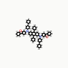 c1ccc(-c2ccc(N(c3ccc4c(c3)oc3ccccc34)c3ccc4c(-c5ccccc5)c5cc(N(c6ccc(-c7ccccc7)cc6)c6ccc7c(c6)oc6ccccc67)ccc5c(-c5ccccc5)c4c3)cc2)cc1